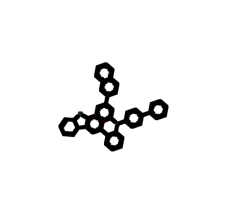 C1=CC2Oc3ccc(-c4ccccc4N(c4ccc(-c5ccccc5)cc4)c4cccc(-c5ccc6ccccc6c5)c4)cc3C2C=C1